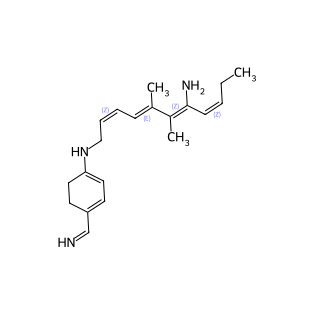 CC\C=C/C(N)=C(C)/C(C)=C/C=C\CNC1=CC=C(C=N)CC1